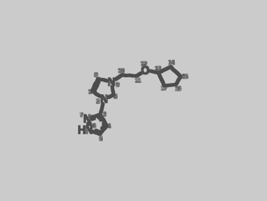 C1=CN(c2cc[nH]n2)CN1CCOC1CCCC1